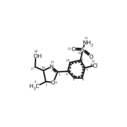 CC1OC(c2ccc(Cl)c(S(N)(=O)=O)c2)=NC1CO